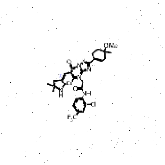 CCc1c(/C=C2\CNC(C)(C)C2)c(=O)n2nc(C3=CCC(C)(OC)CC3)nc2n1CC(=O)Nc1ccc(C(F)(F)F)cc1Cl